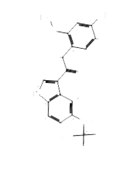 COc1cc(Cl)ccc1CC(=O)c1c[nH]c2ccc(OC(F)(F)F)cc12